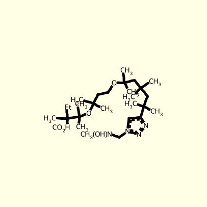 CCC(C)(C(=O)O)C(C)(C)OC(C)(C)CCOC(C)(C)CC(C)(C)CC(C)(C)c1cn(CN(C)O)nn1